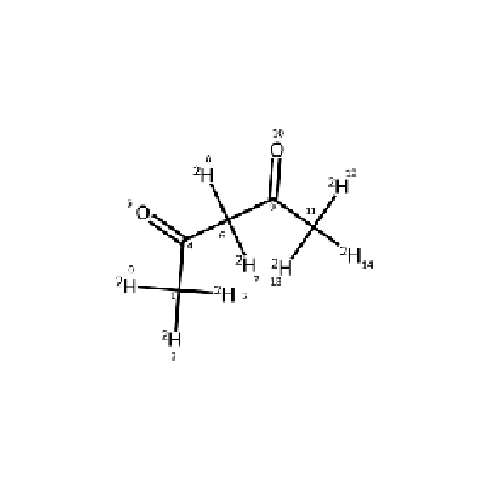 [2H]C([2H])([2H])C(=O)C([2H])([2H])C(=O)C([2H])([2H])[2H]